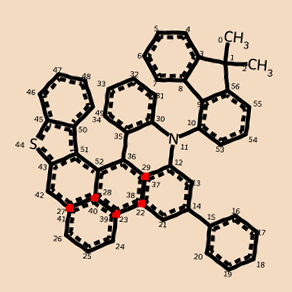 CC1(C)c2ccccc2-c2c(N(c3cc(-c4ccccc4)cc(-c4ccccc4)c3)c3ccccc3-c3cccc4ccc5sc6ccccc6c5c34)cccc21